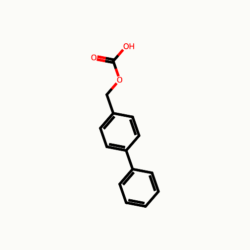 O=C(O)OCc1ccc(-c2ccccc2)cc1